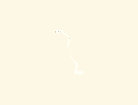 CCCC(C)CCCCCC(=O)O